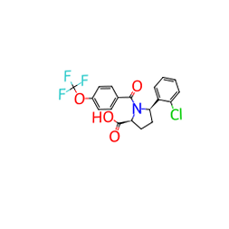 O=C(O)[C@@H]1CC[C@H](c2ccccc2Cl)N1C(=O)c1ccc(OC(F)(F)F)cc1